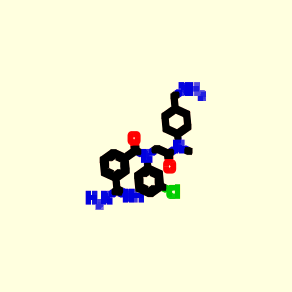 CN(C(=O)CN(C(=O)c1cccc(C(=N)N)c1)c1cccc(Cl)c1)C1CCC(CN)CC1